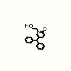 O=c1ccc(C(c2ccccc2)c2ccccc2)cn1CCO